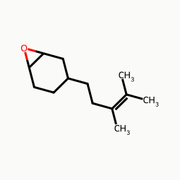 CC(C)=C(C)CCC1CCC2OC2C1